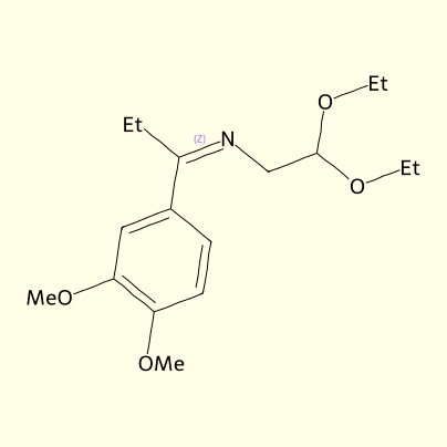 CCOC(C/N=C(/CC)c1ccc(OC)c(OC)c1)OCC